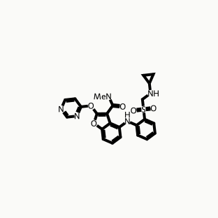 CNC(=O)c1c(Oc2ccncn2)oc2cccc(Nc3ccccc3S(=O)(=O)CNC3CC3)c12